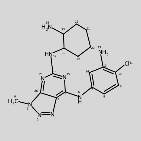 Cn1nnc2c(Nc3ccc(Cl)c(N)c3)nc(NC3CCCCC3N)nc21